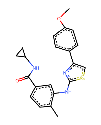 COc1ccc(-c2csc(Nc3cc(C(=O)NC4CC4)ccc3C)n2)cc1